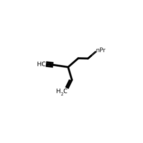 C#CC(C=C)CCCCC